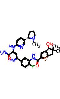 CN1CCC[C@H]1c1ccc(N/C(=C/C(=N)c2ccc(F)c(NC(=O)c3cc4c(s3)CC(C)(C)C4O)c2)C(N)=O)nc1